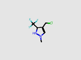 CN1C=C(CCl)[C](C(F)(F)F)N1